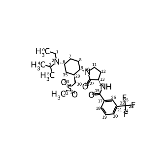 CCN(C(C)C)[C@@H]1CC[C@H](N2CC[C@H](NC(=O)c3cccc(C(F)(F)F)c3)C2=O)[C@@H](CS(C)(=O)=O)C1